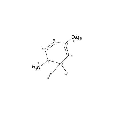 COC1=CC(C)(F)C(N)C=C1